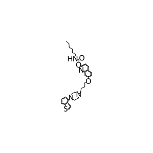 CCCCCCNC(=O)Oc1ccc2ccc(OCCCCN3CCN(c4cccc5sccc45)CC3)cc2n1